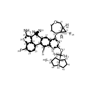 [2H]C([2H])(Oc1nc(N2CCOC[C@H]3[C@H](F)[C@H]32)c2cc(C#N)c(-c3ccc(F)c4sc(N)c(C#N)c34)c(F)c2n1)[C@@]12CCCN1C[C@H](F)C2